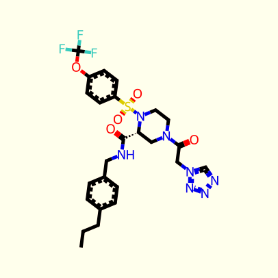 CCCc1ccc(CNC(=O)[C@H]2CN(C(=O)Cn3cnnn3)CCN2S(=O)(=O)c2ccc(OC(F)(F)F)cc2)cc1